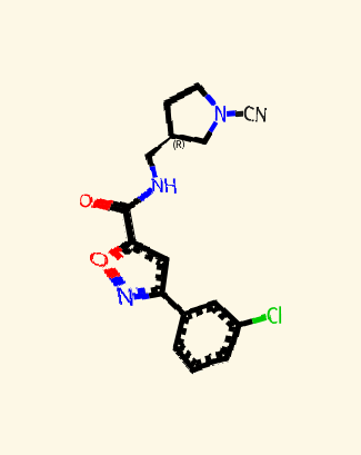 N#CN1CC[C@H](CNC(=O)c2cc(-c3cccc(Cl)c3)no2)C1